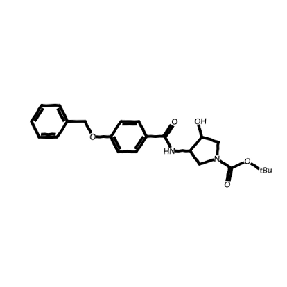 CC(C)(C)OC(=O)N1CC(O)C(NC(=O)c2ccc(OCc3ccccc3)cc2)C1